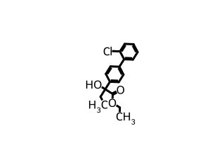 CCOC(=O)C(O)(CC)c1ccc(-c2ccccc2Cl)cc1